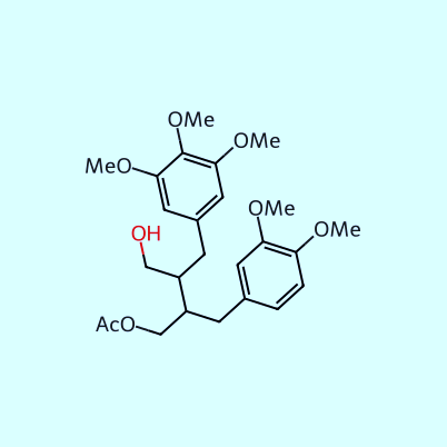 COc1ccc(CC(COC(C)=O)C(CO)Cc2cc(OC)c(OC)c(OC)c2)cc1OC